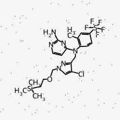 Cc1cc(S(F)(F)(F)(F)F)ccc1N(Cc1nn(COCC[Si](C)(C)C)cc1Cl)c1ccnc(N)n1